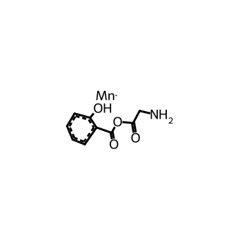 NCC(=O)OC(=O)c1ccccc1O.[Mn]